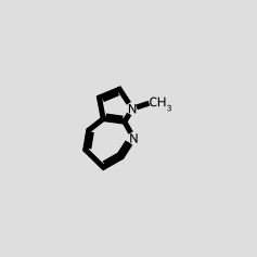 Cn1ccc2c1N=C=CC=C2